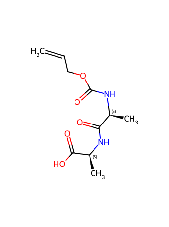 C=CCOC(=O)N[C@@H](C)C(=O)N[C@@H](C)C(=O)O